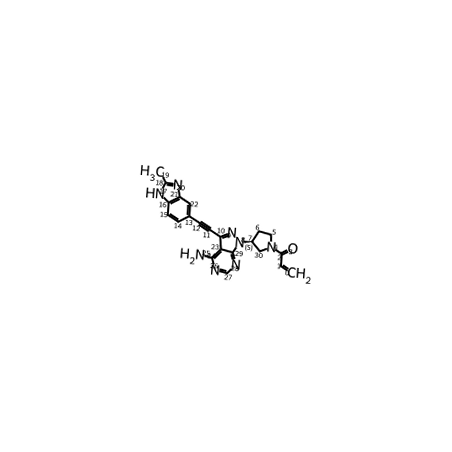 C=CC(=O)N1CC[C@H](n2nc(C#Cc3ccc4[nH]c(C)nc4c3)c3c(N)ncnc32)C1